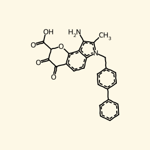 Cc1c(N)c2c3c(ccc2n1Cc1ccc(-c2ccccc2)cc1)C(=O)C(=O)C(C(=O)O)O3